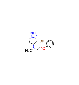 CN(CCOc1ccccc1Br)C1CCN(N)CC1